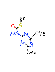 CCSC(=O)Nc1nc(OC)nc(OC)n1